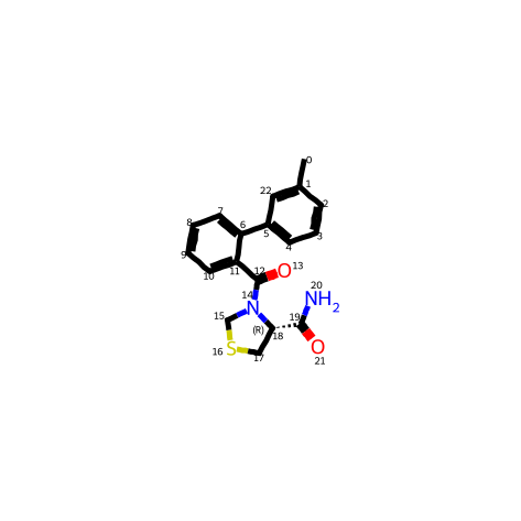 Cc1cccc(-c2ccccc2C(=O)N2CSC[C@H]2C(N)=O)c1